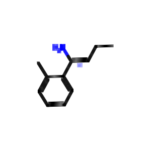 CC/C=C(\N)c1ccccc1C